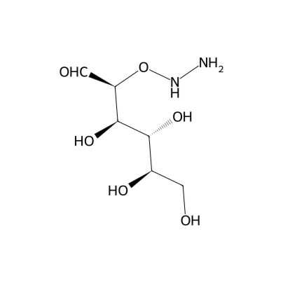 NNO[C@H](C=O)[C@H](O)[C@H](O)[C@H](O)CO